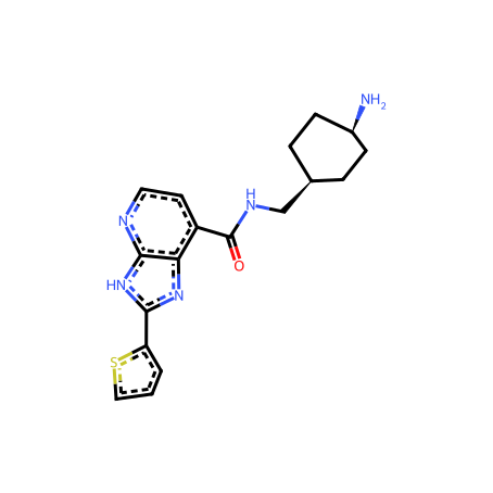 N[C@H]1CC[C@@H](CNC(=O)c2ccnc3[nH]c(-c4cccs4)nc23)CC1